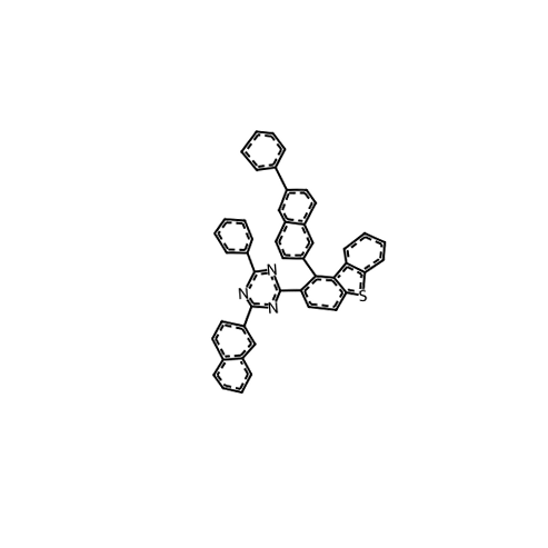 c1ccc(-c2ccc3cc(-c4c(-c5nc(-c6ccccc6)nc(-c6ccc7ccccc7c6)n5)ccc5sc6ccccc6c45)ccc3c2)cc1